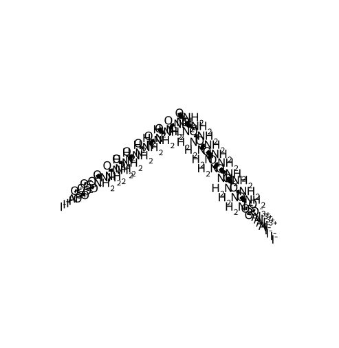 NC(N)=O.NC(N)=O.NC(N)=O.NC(N)=O.NC(N)=O.NC(N)=O.NC(N)=O.NC(N)=O.NC(N)=O.NC(N)=O.NC(N)=O.NC(N)=O.NC(N)=O.NC(N)=O.NC(N)=O.NC(N)=O.NC(N)=O.NC(N)=O.O=S(=O)([O-])[O-].O=S(=O)([O-])[O-].O=S(=O)([O-])[O-].[Al+3].[Al+3].[Al+3].[Al+3].[Al+3].[I-].[I-].[I-].[I-].[I-].[I-].[I-].[I-].[I-]